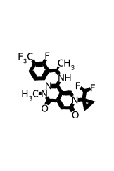 C[C@@H](Nc1nn(C)c(=O)c2cc(=O)n(C3(C(F)F)CC3)cc12)c1cccc(C(F)(F)F)c1F